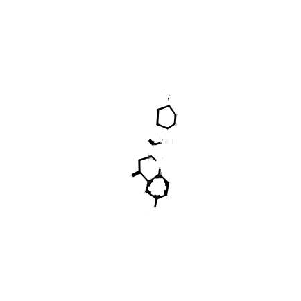 N[C@H]1CC[C@H](NC(=O)[C@H]2CC(=O)c3cc(Cl)ccc3O2)CC1